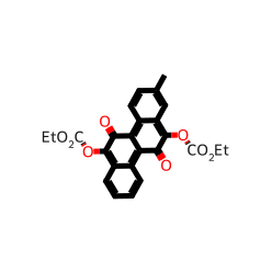 CCOC(=O)OC1=c2ccccc2=C2C(=O)C(OC(=O)OCC)=c3cc(C)ccc3=C2C1=O